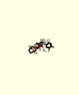 CC(C)(Oc1cc(F)c(F)cc1Cl)C(=O)N[C@H]1C[C@H]2CC[C@@H](C1)N2c1ccc(C(N)=O)cn1